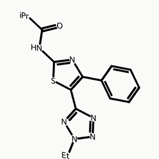 CCn1nnc(-c2sc(NC(=O)C(C)C)nc2-c2ccccc2)n1